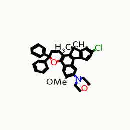 COc1cc2c3c(c4c(c2cc1N1CCOCC1)-c1ccc(Cl)cc1C4(C)C)C=CC(c1ccccc1)(c1ccccc1)O3